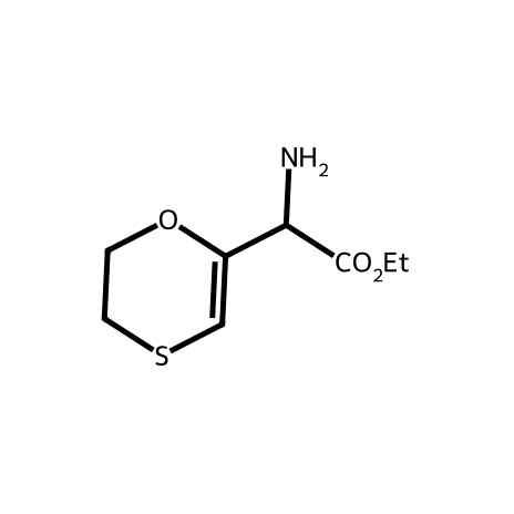 CCOC(=O)C(N)C1=CSCCO1